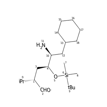 CC(C)[C@@H]([C]=O)C[C@H](O[Si](C)(C)C(C)(C)C)[C@@H](N)CC1CCCCC1